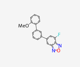 COc1ccccc1-c1cccc(-c2cc(F)c3nonc3c2)c1